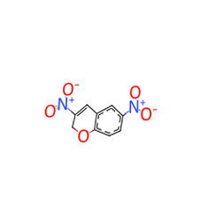 O=[N+]([O-])C1=Cc2cc([N+](=O)[O-])ccc2OC1